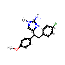 COc1ccc(C(Cc2ccc(Br)cc2)c2cn(C)c(N)n2)cc1